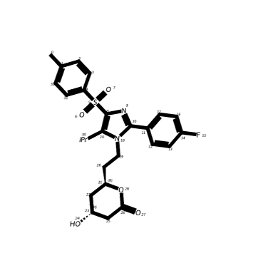 Cc1ccc(S(=O)(=O)c2nc(-c3ccc(F)cc3)n(CC[C@@H]3C[C@@H](O)CC(=O)O3)c2C(C)C)cc1